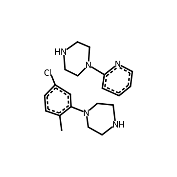 Cc1ccc(Cl)cc1N1CCNCC1.c1ccc(N2CCNCC2)nc1